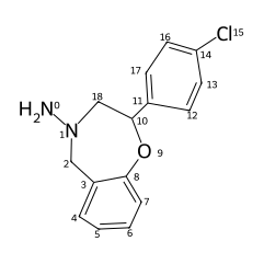 NN1Cc2ccccc2OC(c2ccc(Cl)cc2)C1